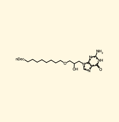 CCCCCCCCCCCCCCCCCCOCC(O)Cn1cnc2c(=O)[nH]c(N)nc21